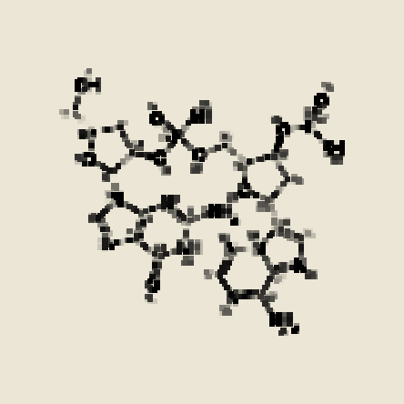 Nc1nc2c(ncn2[C@@H]2O[C@H](CO)C[C@H]2OP(=O)(S)OC[C@H]2O[C@@H](c3cnc4c(N)ncnn34)C[C@@H]2O[PH](=O)S)c(=O)[nH]1